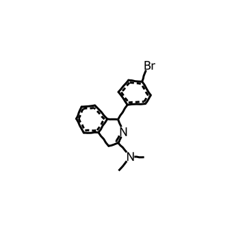 CN(C)C1=NC(c2ccc(Br)cc2)c2ccccc2C1